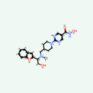 CCN(CC1CCN(c2ncc(C(=O)NO)cn2)CC1)C(CO)c1cc2ccccc2o1